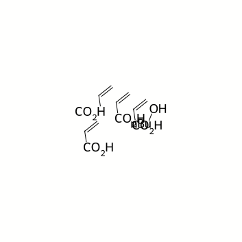 C=CC(=O)O.C=CC(=O)O.C=CC(=O)O.C=CC(=O)O.CCCCO